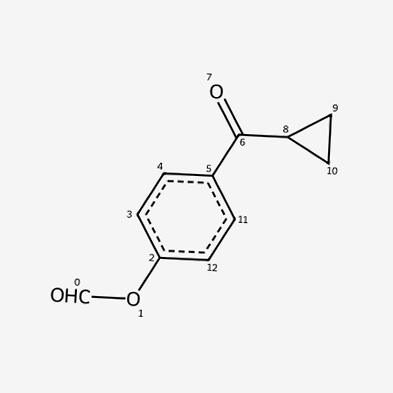 O=COc1ccc(C(=O)C2CC2)cc1